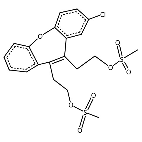 CS(=O)(=O)OCCC1=C(CCOS(C)(=O)=O)c2cc(Cl)ccc2Oc2ccccc21